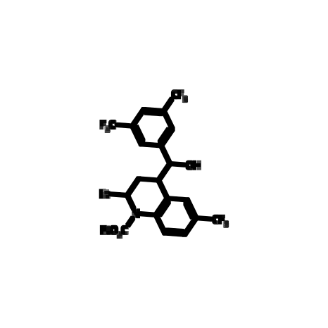 CCOC(=O)N1c2ccc(C(F)(F)F)cc2C(C(O)c2cc(C(F)(F)F)cc(C(F)(F)F)c2)CC1CC